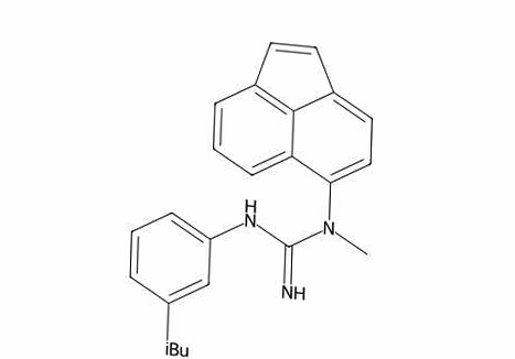 CCC(C)c1cccc(NC(=N)N(C)c2ccc3c4c(cccc24)C=C3)c1